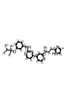 FC(F)C(F)(F)Oc1cccc(Nc2nccc(-c3ccnc(NCCc4ncc[nH]4)c3)n2)c1